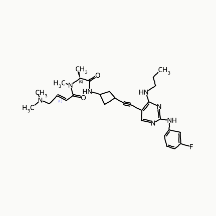 CCCNc1nc(Nc2cccc(F)c2)ncc1C#CC1CC(NC(=O)[C@H](C)N(C)C(=O)/C=C/CN(C)C)C1